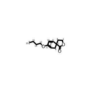 O=C1OCCC12Cc1oc2cc1OCCCI